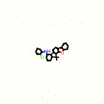 CC1(C)c2cccc(Nc3ccccc3Cl)c2-c2ccc3c(oc4ccccc43)c21